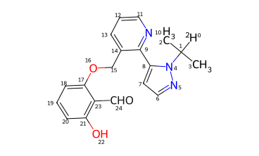 [2H]C(C)(C)n1nccc1-c1ncccc1COc1cccc(O)c1C=O